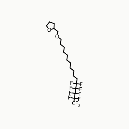 FC(F)(F)C(F)(F)C(F)(F)C(F)(F)C(F)(F)CCCCCCCCCCCOCC1CCCO1